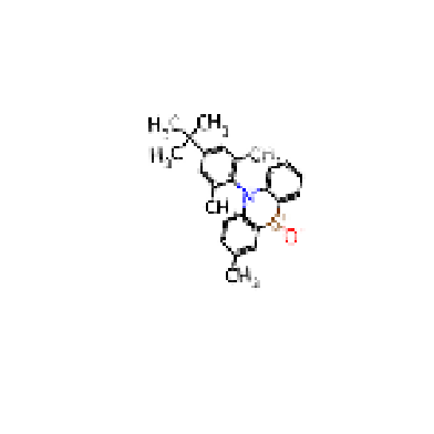 Cc1ccc2c(c1)[S+]([O-])c1ccccc1N2c1c(C)cc(C(C)(C)C)cc1C